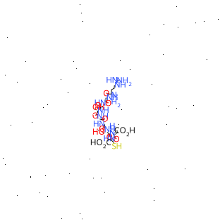 N=C(N)NCCC[C@H](N)C(=O)NCC(=O)NCC(=O)N[C@@H](CO)C(=O)NCC(=O)NCC(=O)N[C@@H](CO)C(=O)N[C@@H](CC(=O)O)C(=O)N[C@@H](CS)C(=O)O